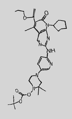 C=C(OCC)c1c(C)c2cnc(Nc3ccc(N4CCN(OC(=O)OC(C)(C)C)C(C)(C)C4)cn3)nc2n(C2CCCC2)c1=O